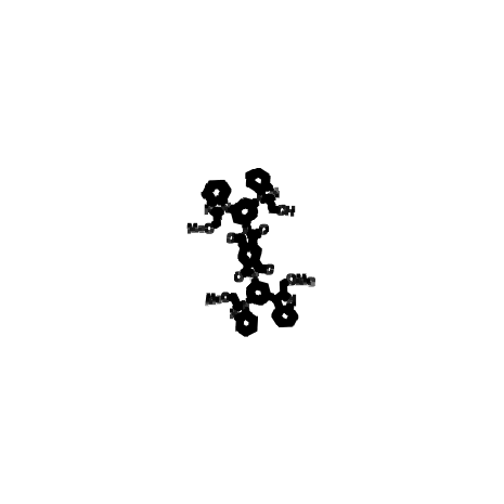 COCC1=Nc2ccccc2C1c1cc(-n2c(=O)c3cc4c(=O)n(-c5cc(-n6c(CO)nc7ccccc76)cc(-n6c(COC)nc7ccccc76)c5)c(=O)c4cc3c2=O)cc(-n2c(COC)nc3ccccc32)c1